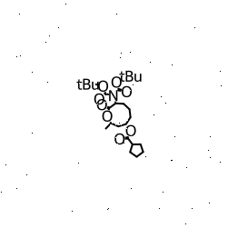 CC1CC(OC(=O)C2CCCC2)CCC[C@H](N(C(=O)OC(C)(C)C)C(=O)OC(C)(C)C)C(=O)O1